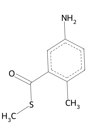 CSC(=O)c1cc(N)ccc1C